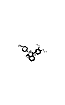 CCOc1ccc(C2=NN(C3CCN(C(C)=O)CC3)C(=O)[C@@H]3CC=CC[C@H]23)cc1OCC